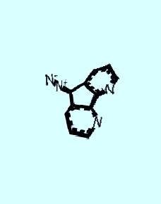 [N-]=[N+]=C1c2cccnc2-c2ncccc21